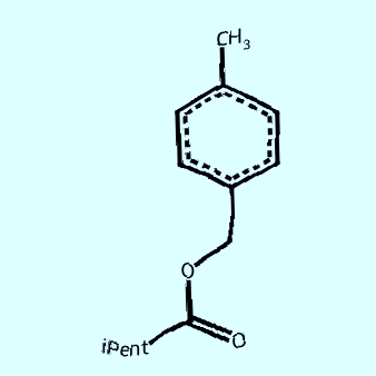 CCCC(C)C(=O)OCc1ccc(C)cc1